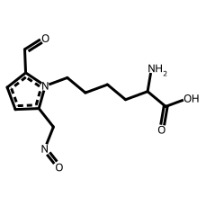 NC(CCCCn1c(C=O)ccc1CN=O)C(=O)O